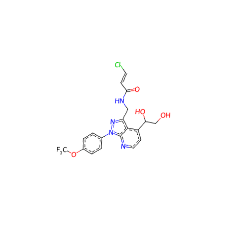 O=C(C=CCl)NCc1nn(-c2ccc(OC(F)(F)F)cc2)c2nccc(C(O)CO)c12